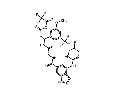 COc1cc([C@H](CC(=O)OC(=O)C(F)(F)F)NC(=O)CNC(=O)c2cc(NC3=NCC(F)CN3)c3cn[nH]c3c2)cc(C(F)(F)F)c1